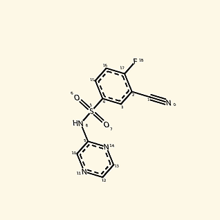 N#Cc1cc(S(=O)(=O)Nc2cnccn2)ccc1F